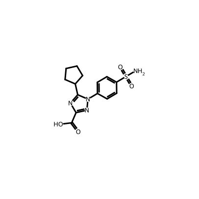 NS(=O)(=O)c1ccc(-n2nc(C(=O)O)nc2C2CCCC2)cc1